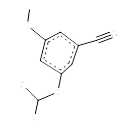 CSc1cc(C#N)cc(OC(F)F)c1